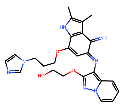 Cc1[nH]c2c(c1C)C(=N)C(=Nc1c(OCCO)nn3ccccc13)C=C2OCCCn1ccnc1